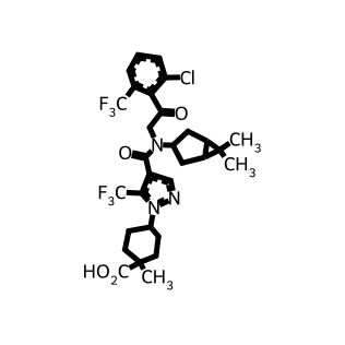 CC1(C(=O)O)CCC(n2ncc(C(=O)N(CC(=O)c3c(Cl)cccc3C(F)(F)F)C3CC4C(C3)C4(C)C)c2C(F)(F)F)CC1